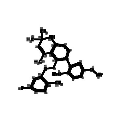 CCCOc1ccc(OC)c(-c2ccc3c(c2COc2cc(F)ccc2C)C(C)=CC(C)(C)N3)c1